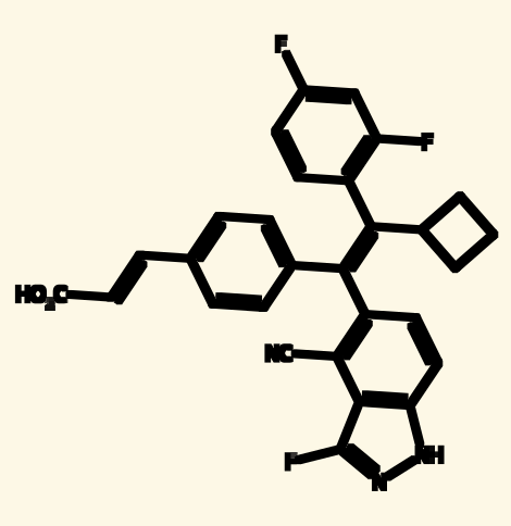 N#Cc1c(C(=C(c2ccc(F)cc2F)C2CCC2)c2ccc(C=CC(=O)O)cc2)ccc2[nH]nc(F)c12